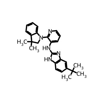 CC(C)(C)c1ccc2[nH]c(Nc3cccnc3N3CC(C)(C)c4ccccc43)nc2c1